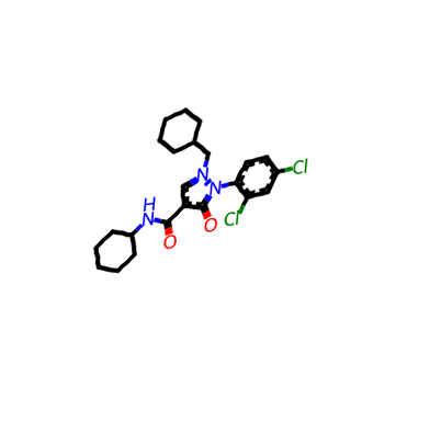 O=C(NC1CCCCC1)c1cn(CC2CCCCC2)n(-c2ccc(Cl)cc2Cl)c1=O